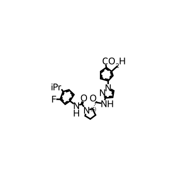 Cc1cc(-n2ccc(NC(=O)[C@@H]3CCCN3C(=O)Nc3ccc(C(C)C)c(F)c3)n2)ccc1C(=O)O